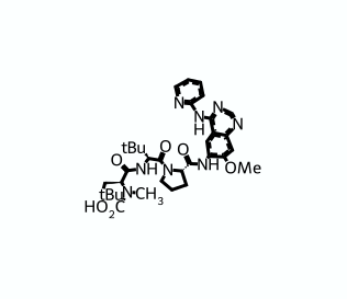 COc1cc2ncnc(Nc3ccccn3)c2cc1NC(=O)[C@@H]1CCCN1C(=O)[C@@H](NC(=O)[C@H](CC(C)(C)C)N(C)C(=O)O)C(C)(C)C